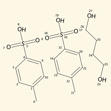 Cc1ccc(S(=O)(=O)O)cc1.Cc1ccc(S(=O)(=O)O)cc1.OCCCCO